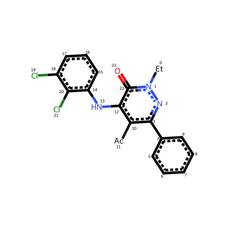 CCn1nc(-c2ccccc2)c(C(C)=O)c(Nc2cccc(Cl)c2Cl)c1=O